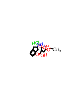 CCOCCC(C(=O)O)(C(=O)O)[C@@H]1c2ccccc2C[C@H]1N.Cl